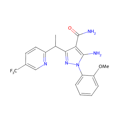 COc1ccccc1-n1nc(C(C)c2ccc(C(F)(F)F)cn2)c(C(N)=O)c1N